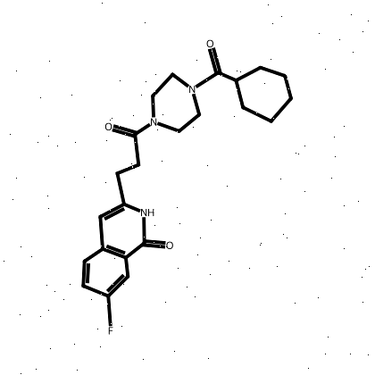 O=C(CCc1cc2ccc(F)cc2c(=O)[nH]1)N1CCN(C(=O)C2CCCCC2)CC1